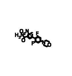 NC(=O)c1cc(-c2c(F)cc(N3CCOCC3)cc2F)sc1[N+](=O)[O-]